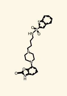 O=c1[nH]c2cccc(N3CCN(CCCCNS(=O)(=O)c4cc5ccccc5s4)CC3)c2o1